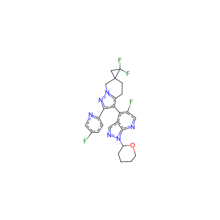 Fc1ccc(-c2nn3c(c2-c2c(F)cnc4c2cnn4C2CCCCO2)CCC2(C3)CC2(F)F)nc1